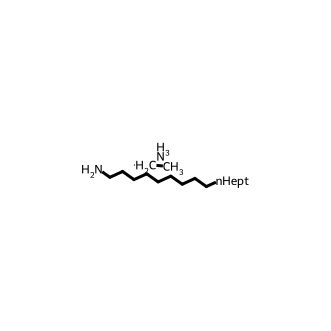 CCCCCCCCCCCCCCCCN.N.[CH2]C